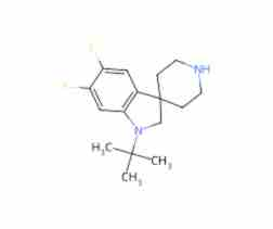 CC(C)(C)N1CC2(CCNCC2)c2cc(F)c(F)cc21